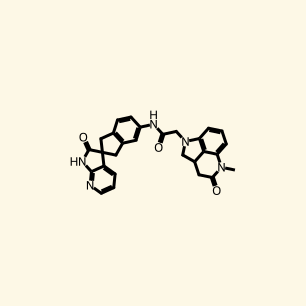 CN1C(=O)CC2CN(CC(=O)Nc3ccc4c(c3)CC3(C4)C(=O)Nc4ncccc43)c3cccc1c32